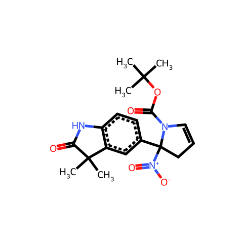 CC(C)(C)OC(=O)N1C=CCC1(c1ccc2c(c1)C(C)(C)C(=O)N2)[N+](=O)[O-]